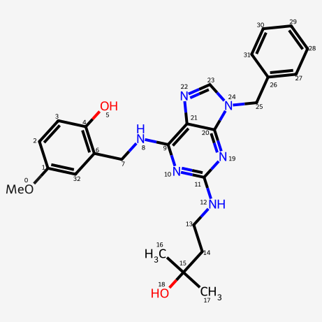 COc1ccc(O)c(CNc2nc(NCCC(C)(C)O)nc3c2ncn3Cc2ccccc2)c1